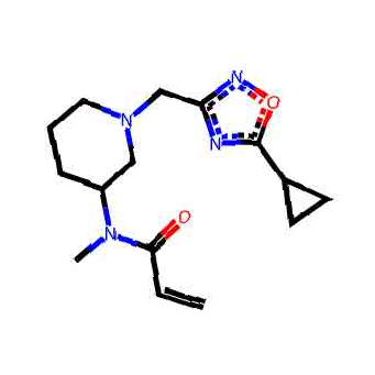 C=CC(=O)N(C)C1CCCN(Cc2noc(C3CC3)n2)C1